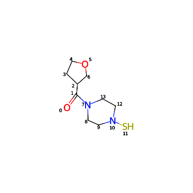 O=C(C1CCOC1)N1CCN(S)CC1